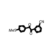 CSc1ccc(C(=O)C(=O)c2cccc(C#N)c2)cc1